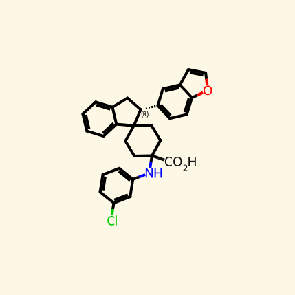 O=C(O)C1(Nc2cccc(Cl)c2)CCC2(CC1)c1ccccc1C[C@@H]2c1ccc2occc2c1